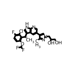 Cc1nn(CC(O)CO)cc1-c1cnc2[nH]cc([C@H](C)c3c(OC(F)F)ccc(F)c3Cl)c2c1